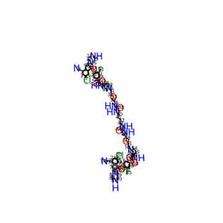 N#Cc1cc(Cl)cc2c1C[C@H](N1CCNCC1)[C@H]2Oc1ccc(S(=O)(=O)N[C@@H]2CCN(CCOCCNC(=O)NCCCCNC(=O)NCCOCCN3CC[C@@H](NS(=O)(=O)c4ccc(O[C@H]5c6cc(Cl)cc(C#N)c6C[C@@H]5N5CCNCC5)c(F)c4)C3)C2)cc1F